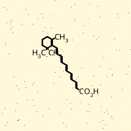 CC1=C(C=CC=CC=CC=CC=CC(=O)O)C(C)(C)CCC1